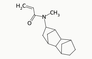 C=CC(=O)N(C)C1CC2CC1C1C3CCC(C3)C21